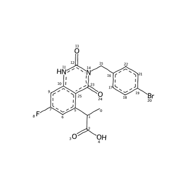 CC(C(=O)O)c1cc(F)cc2[nH]c(=O)n(Cc3ccc(Br)cc3)c(=O)c12